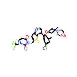 Cc1cc(Cl)cc(-c2ccnc3cc(Cn4c(=O)ccn(CC(F)(F)F)c4=O)sc23)c1OC1CC(C)(N2CCOCC2)C1